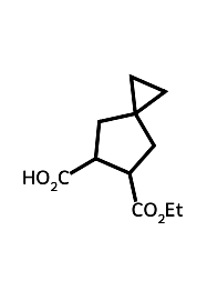 CCOC(=O)C1CC2(CC2)CC1C(=O)O